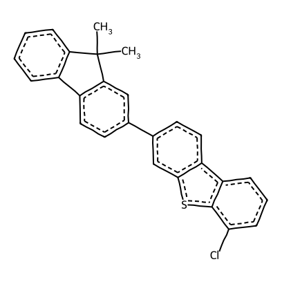 CC1(C)c2ccccc2-c2ccc(-c3ccc4c(c3)sc3c(Cl)cccc34)cc21